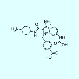 Nc1c(C(=O)NC2CCC(N)CC2)n(Cc2ccc(C(=O)O)cc2)c2cc(NC(=O)O)ccc12